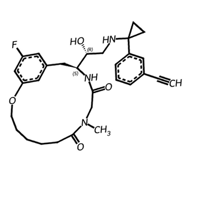 C#Cc1cccc(C2(NC[C@@H](O)[C@@H]3Cc4cc(F)cc(c4)OCCCCCC(=O)N(C)CC(=O)N3)CC2)c1